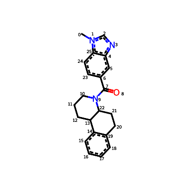 Cn1cnc2cc(C(=O)N3CCCC4c5ccccc5CCC43)ccc21